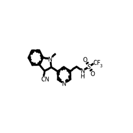 CN1c2ccccc2C(C#N)C1c1cncc(CNS(=O)(=O)C(F)(F)F)c1